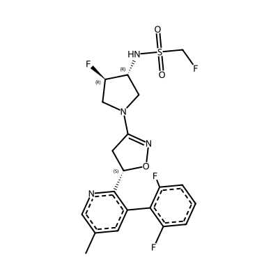 Cc1cnc([C@@H]2CC(N3C[C@@H](F)[C@H](NS(=O)(=O)CF)C3)=NO2)c(-c2c(F)cccc2F)c1